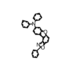 c1ccc(-c2nc3c(ccc4oc5cc(N(c6ccccc6)c6ccccc6)ccc5c43)o2)cc1